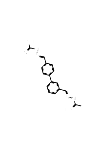 CC(=N)N/N=C/c1cccc(-c2ccc(/C=N/NC(=N)N)cc2)c1